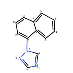 c1ccc2c(-n3cncn3)cccc2c1